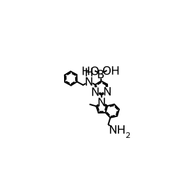 Cc1cc2c(CN)cccc2n1-c1ncc(B(O)O)c(NCc2ccccc2)n1